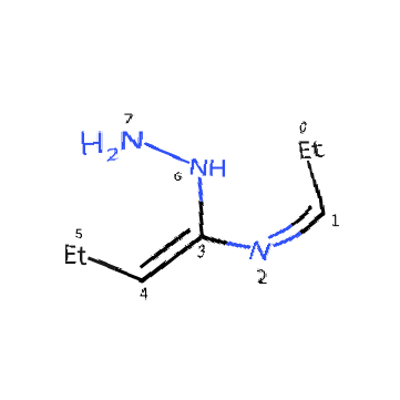 CC/C=N\C(=C\CC)NN